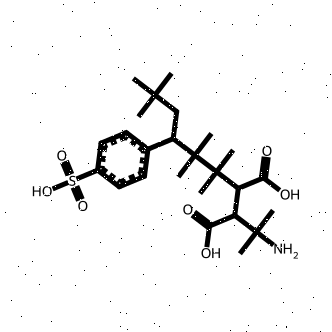 CC(C)(C)CC(c1ccc(S(=O)(=O)O)cc1)C(C)(C)C(C)(C)C(C(=O)O)C(C(=O)O)C(C)(C)N